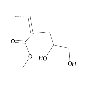 CC=C(CC(O)CO)C(=O)OC